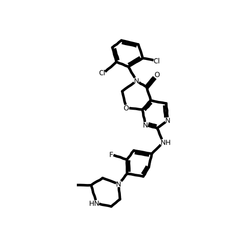 CC1CN(c2ccc(Nc3ncc4c(n3)OCN(c3c(Cl)cccc3Cl)C4=O)cc2F)CCN1